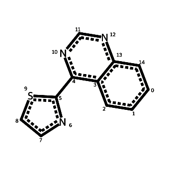 c1ccc2c(-c3nccs3)ncnc2c1